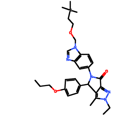 CCCOc1ccc(C2c3c(nn(CC)c3C)C(=O)N2c2ccc3c(c2)ncn3COCC[Si](C)(C)C)cc1